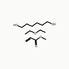 C=CC(=O)OC.CCOCC.OCCCCCCO